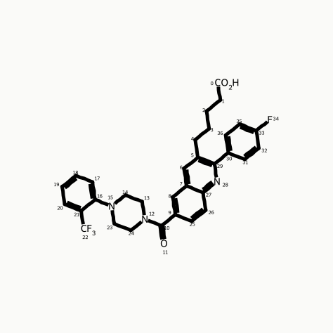 O=C(O)CCCCc1cc2cc(C(=O)N3CCN(c4ccccc4C(F)(F)F)CC3)ccc2nc1-c1ccc(F)cc1